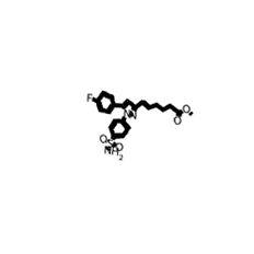 COC(=O)CCC/C=C/c1cc(-c2ccc(F)cc2)n(-c2ccc(S(N)(=O)=O)cc2)n1